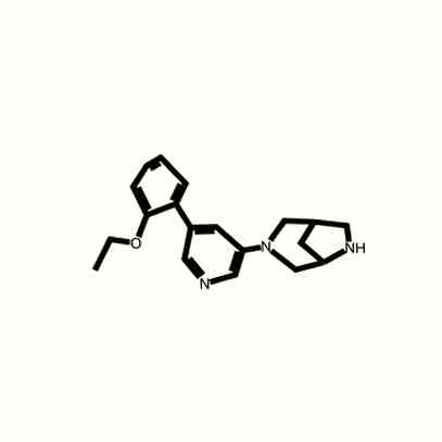 CCOc1ccccc1-c1cncc(N2CC3CNC(C3)C2)c1